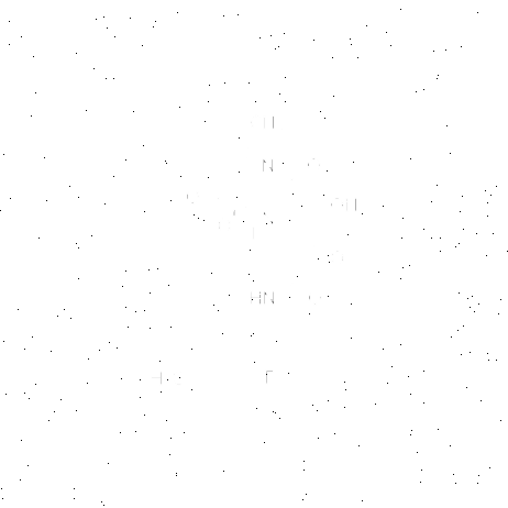 Cc1ccc(CNC(=O)c2cn3c(c(O)c2=O)C(=O)N2C[C@@H]3C3(CC[C@@H]2C)OCCO3)c(F)c1